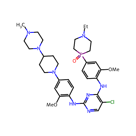 CCN1CCP(=O)(c2ccc(Nc3nc(Nc4ccc(N5CCC(N6CCN(C)CC6)CC5)cc4OC)ncc3Cl)c(OC)c2)CC1